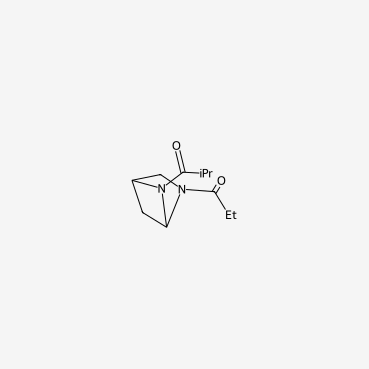 CCC(=O)N1CC2CC1N2C(=O)C(C)C